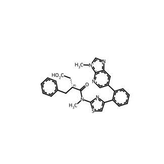 CN(C(=O)[C@@H](CC(=O)O)Cc1ccccc1)c1nc(-c2ccccc2-c2cnc3c(c2)ncn3C)cs1